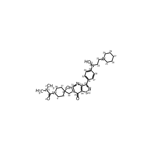 CN(C)C(=O)N1CCC(O)(Cn2cnc3c(-c4ccc(N(O)CCN5CCCCC5)cc4)nsc3c2=O)CC1